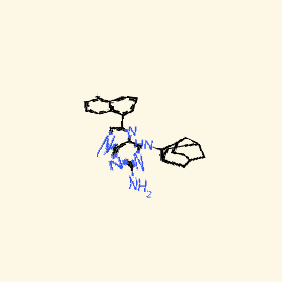 Nc1nc(NC2C3CC4CC(C3)CC2C4)c2nc(-c3cccc4ccccc34)cnc2n1